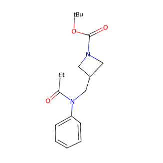 CCC(=O)N(CC1CN(C(=O)OC(C)(C)C)C1)c1ccccc1